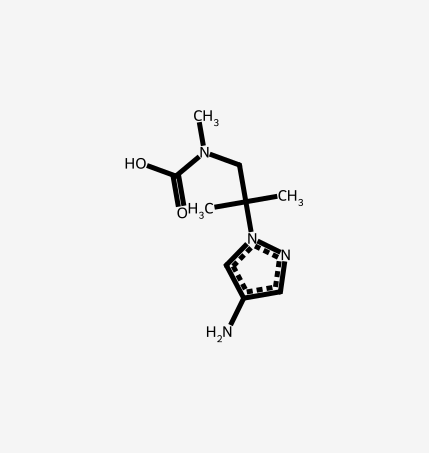 CN(CC(C)(C)n1cc(N)cn1)C(=O)O